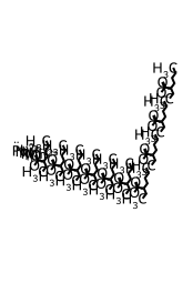 CCCCC(CC)C(=O)[O-].CCCCC(CC)C(=O)[O-].CCCCC(CC)C(=O)[O-].CCCCC(CC)C(=O)[O-].CCCCC(CC)C(=O)[O-].CCCCC(CC)C(=O)[O-].CCCCC(CC)C(=O)[O-].CCCCC(CC)C(=O)[O-].CCCCC(CC)C(=O)[O-].CCCCC(CC)C(=O)[O-].[Mn+2].[Mn+2].[Ni+2].[Ni+2].[Pb+2]